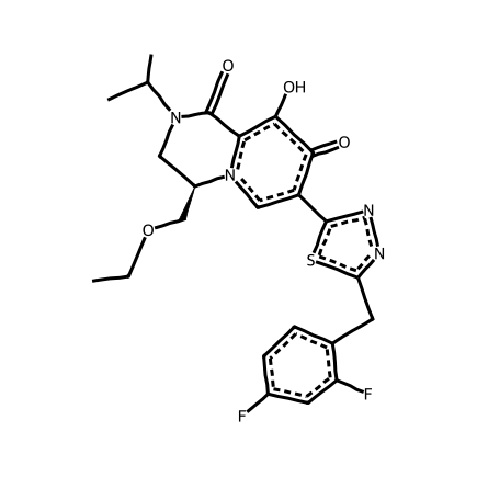 CCOC[C@H]1CN(C(C)C)C(=O)c2c(O)c(=O)c(-c3nnc(Cc4ccc(F)cc4F)s3)cn21